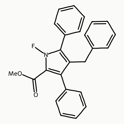 COC(=O)c1c(-c2ccccc2)c(Cc2ccccc2)c(-c2ccccc2)n1F